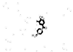 Cc1ccc(C(=O)N2CCN(C)CC2)cc1I